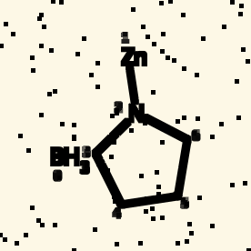 B.[Zn][N]1CCCC1